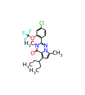 CCC(CC)c1cc(C)n2nc(-c3ccc(Cl)cc3OC(F)(F)F)n(C)c(=O)c12